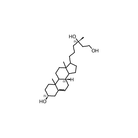 CC12CC[C@H](O)CC1=CC[C@@H]1C2CCC2(C)C(CCC[C@](C)(O)CCO)CCC12